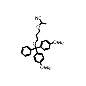 [CH2]C(C#N)OCCCOC(c1ccccc1)(c1ccc(OC)cc1)c1ccc(OC)cc1